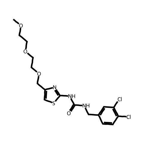 COCCOCCOCc1csc(NC(=O)NCc2ccc(Cl)c(Cl)c2)n1